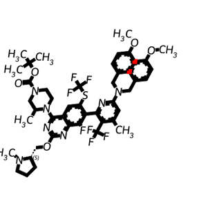 COc1ccc(CN(Cc2ccc(OC)cc2)c2cc(C)c(C(F)(F)F)c(-c3c(SC(F)(F)F)cc4c(N5CCN(C(=O)OC(C)(C)C)CC5C)nc(OC[C@@H]5CCCN5C)nc4c3F)n2)cc1